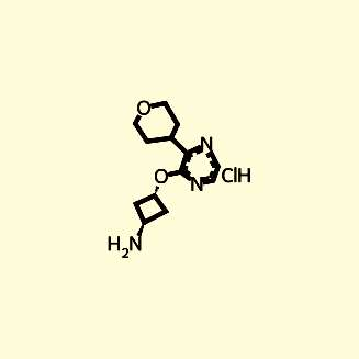 Cl.N[C@H]1C[C@H](Oc2nccnc2C2CCOCC2)C1